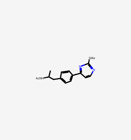 CSc1nccc(-c2ccc(CC(C)NC(C)=O)cc2)n1